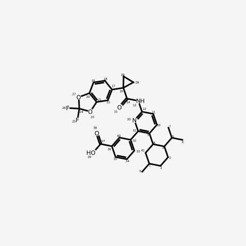 CC1CCC(C(C)C)C(c2ccc(NC(=O)C3(c4ccc5c(c4)OC(F)(F)O5)CC3)nc2-c2cccc(C(=O)O)c2)C1